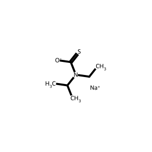 CCN(C([O-])=S)C(C)C.[Na+]